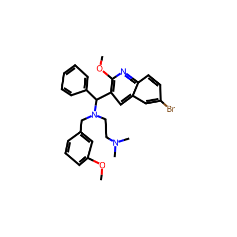 COc1cccc(CN(CCN(C)C)C(c2ccccc2)c2cc3cc(Br)ccc3nc2OC)c1